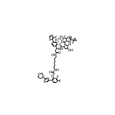 Cc1ncsc1-c1ccc(C(CC(=O)NCCCCCCNC(=O)COc2c(-c3csc(N4CCOCC4)n3)ccc(F)c2F)NC(=O)[C@@H]2C[C@@H](O)CN2C(=O)C(NC(=O)C2(F)CC2)C(C)(C)C)cc1